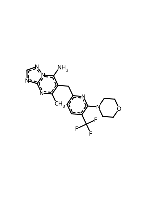 Cc1nc2ncnn2c(N)c1Cc1ccc(C(F)(F)F)c(N2CCOCC2)n1